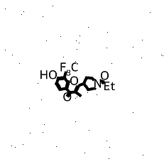 CCC(=O)N1CCC(c2oc3c(CC(F)(F)F)c(O)ccc3c(=O)c2C)CC1